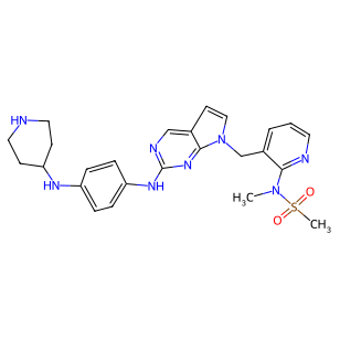 CN(c1ncccc1Cn1ccc2cnc(Nc3ccc(NC4CCNCC4)cc3)nc21)S(C)(=O)=O